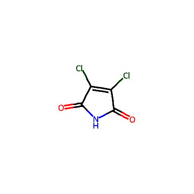 O=C1NC(=O)C(Cl)=C1Cl